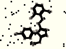 NCc1nnc(SCc2c(F)cccc2F)n1-c1ccc(F)cc1